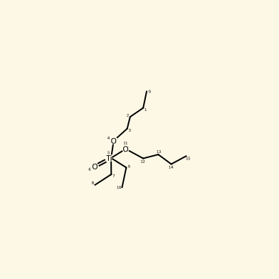 CCCC[O][Ti](=[O])([CH2]C)([CH2]C)[O]CCCC